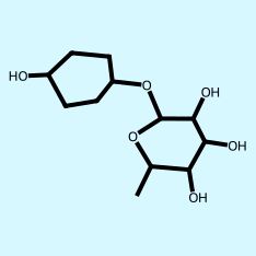 CC1OC(OC2CCC(O)CC2)C(O)C(O)C1O